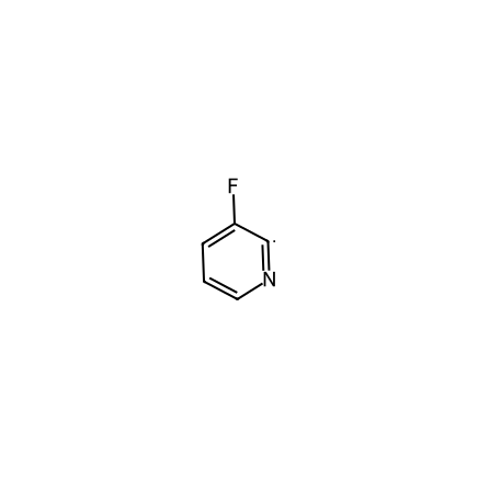 Fc1[c]nccc1